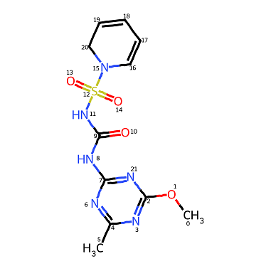 COc1nc(C)nc(NC(=O)NS(=O)(=O)N2C=CC=CC2)n1